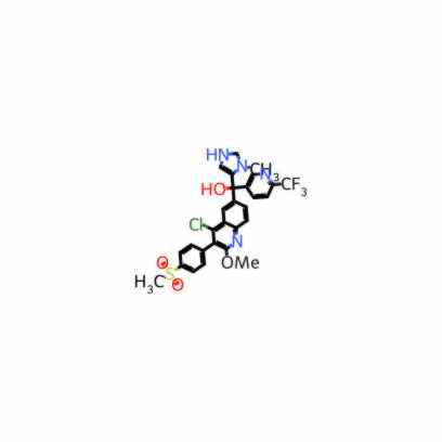 COc1nc2ccc(C(O)(C3=CNCN3C)c3ccc(C(F)(F)F)nc3)cc2c(Cl)c1-c1ccc(S(C)(=O)=O)cc1